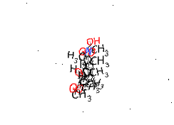 CON(CCO)C(=O)[C@@]1(C)CC[C@]2(C)CC[C@]3(C)C(=CC(=O)[C@@H]4[C@@]5(C)CC[C@H](OC(C)=O)C(C)(C)C5CC[C@]43C)[C@@H]2C1